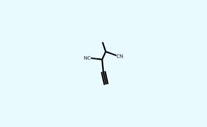 C#CC(C#N)C(C)C#N